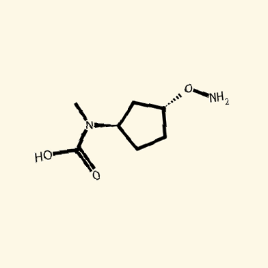 CN(C(=O)O)[C@@H]1CC[C@@H](ON)C1